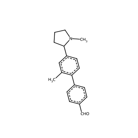 Cc1cc(C2CCCN2C)ccc1-c1ccc(C=O)cc1